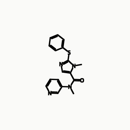 CN(C(=O)c1cnc(Sc2ccccc2)n1C)c1cccnc1